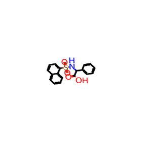 O=C(O)C(NS(=O)(=O)c1cccc2ccccc12)c1ccccc1